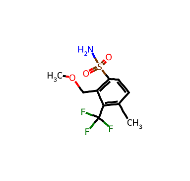 COCc1c(S(N)(=O)=O)ccc(C)c1C(F)(F)F